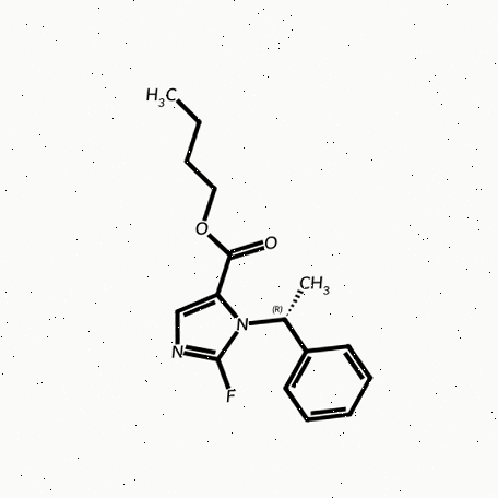 CCCCOC(=O)c1cnc(F)n1[C@H](C)c1ccccc1